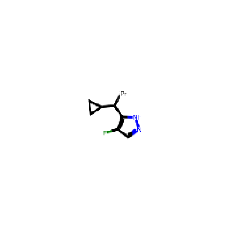 CC(C)C(c1[nH]n[c]c1F)C1CC1